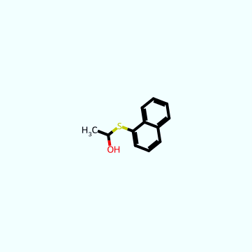 CC(O)Sc1cccc2ccccc12